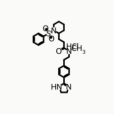 CN(CCc1ccc(C2=NCCN2)cc1)C(=O)CCC1CCCCN1S(=O)(=O)c1ccccc1.Cl